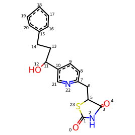 O=C1NC(=O)C(Cc2ccc(C(O)CCc3ccccc3)cn2)S1